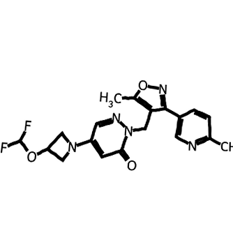 Cc1ccc(-c2noc(C)c2Cn2ncc(N3CC(OC(F)F)C3)cc2=O)cn1